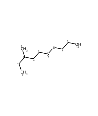 CCC(C)CCSSCCO